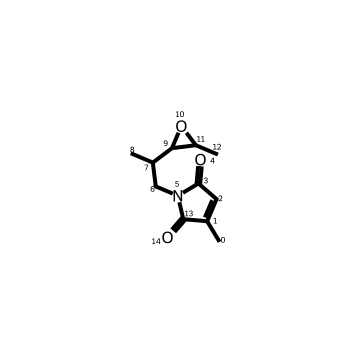 CC1=CC(=O)N(CC(C)C2OC2C)C1=O